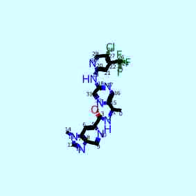 CC(NC(=O)c1cc2c(cn1)ncn2C)c1cnc(Nc2cc(C(F)(F)F)c(Cl)cn2)cn1